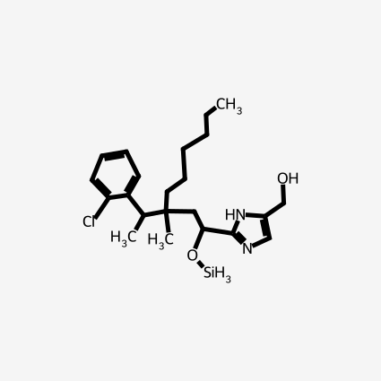 CCCCCCC(C)(CC(O[SiH3])c1ncc(CO)[nH]1)C(C)c1ccccc1Cl